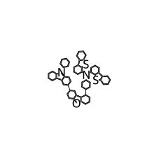 c1ccc(-n2c3ccccc3c3cc(-c4ccc5oc6cccc(-c7ccc(N(c8cccc9c8sc8ccccc89)c8cccc9c8sc8ccccc89)cc7)c6c5c4)ccc32)cc1